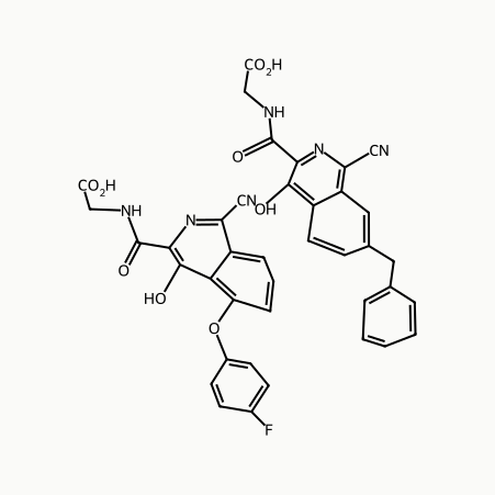 N#Cc1nc(C(=O)NCC(=O)O)c(O)c2c(Oc3ccc(F)cc3)cccc12.N#Cc1nc(C(=O)NCC(=O)O)c(O)c2ccc(Cc3ccccc3)cc12